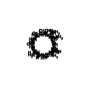 CCCC[C@H]1C(=O)N(C)[C@@H](CCCC)C(=O)N[C@@H](CCCNC(=N)N)C(=O)N[C@H](C(=O)NCC(N)=O)CSCC(=O)N[C@@H](Cc2ccc(O)cc2)C(=O)N(C)[C@@H](C)C(=O)N[C@@H](CC(N)=O)C(=O)N2CC(F)(F)C[C@H]2C(=O)N[C@@H](Cc2cnc[nH]2)C(=O)N[C@@H](CC(C)C)C(=O)N2CCC[C@H]2C(=O)N[C@@H](Cc2c[nH]c3ccccc23)C(=O)N[C@@H](CO)C(=O)N[C@@H](Cc2csc3ccccc23)C(=O)N1C